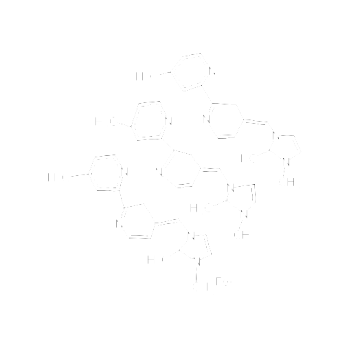 Cc1ccnc(C2=NC=CC(=CN3C=CN(C)C3C)C2)c1.Cc1ccnc(C2=NC=CC(=CN3C=CN(C)C3C)C2)c1.Cc1ccnc(C2=NC=CC(=CN3C=CN(C)C3C)C2)c1.[Fe+2]